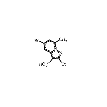 CCc1nn2c(C)cc(Br)cc2c1C(=O)O